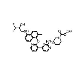 Cc1ccc2c(NCC(O)C(F)F)cccc2c1Oc1ncccc1-c1ccnc(N[C@H]2CCCN(C(=O)OC(C)(C)C)C2)n1